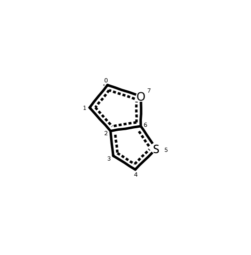 [c]1cc2ccsc2o1